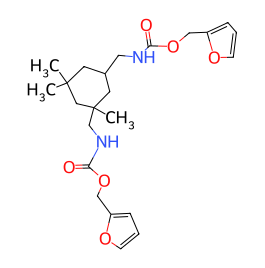 CC1(C)CC(CNC(=O)OCc2ccco2)CC(C)(CNC(=O)OCc2ccco2)C1